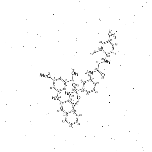 COc1cc(CO)cc(Nc2nc3ccccc3nc2NS(=O)(=O)c2cccc(NC(=O)CNc3ccc(C)cc3F)c2)c1